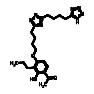 CCCc1c(OCCCCc2nnn(CCCCc3nnn[nH]3)n2)ccc(C(C)=O)c1O